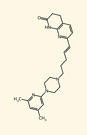 Cc1cc(C)nc(N2CCN(CCCC=Cc3ccc4c(n3)NC(=O)CC4)CC2)c1